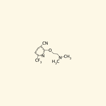 CN(C)CCOc1nc(C(F)(F)F)ccc1C#N